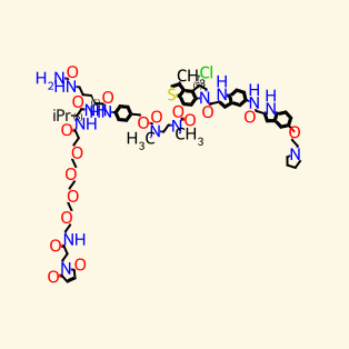 Cc1csc2c(OC(=O)N(C)CCN(C)C(=O)OCc3ccc(NC(=O)[C@H](CCCNC(N)=O)NC(=O)[C@@H](NC(=O)CCOCCOCCOCCOCCNC(=O)CCN4C(=O)C=CC4=O)C(C)C)cc3)cc3c(c12)[C@H](CCl)CN3C(=O)c1cc2cc(NC(=O)c3cc4cc(OCCN5CCCC5)ccc4[nH]3)ccc2[nH]1